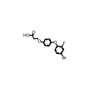 O=C(O)CCOc1ccc(Oc2ccc(Br)cc2F)cc1